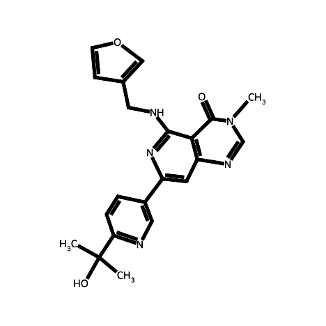 Cn1cnc2cc(-c3ccc(C(C)(C)O)nc3)nc(NCc3ccoc3)c2c1=O